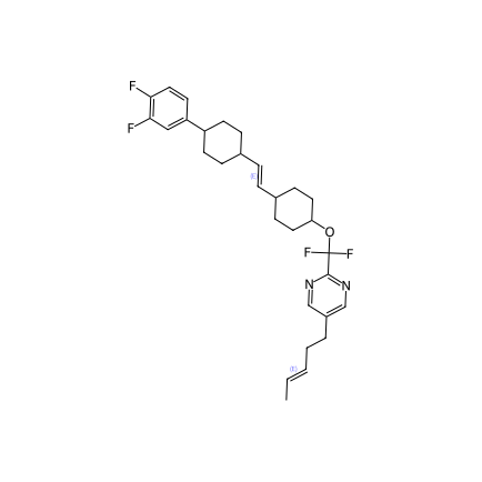 C/C=C/CCc1cnc(C(F)(F)OC2CCC(/C=C/C3CCC(c4ccc(F)c(F)c4)CC3)CC2)nc1